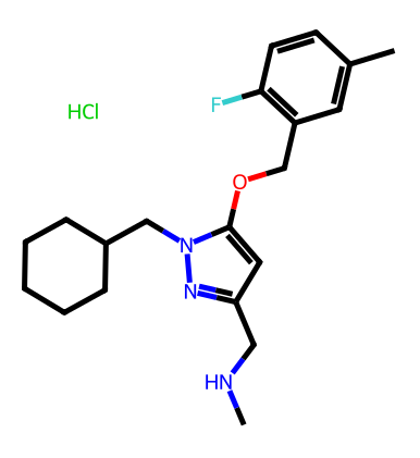 CNCc1cc(OCc2cc(C)ccc2F)n(CC2CCCCC2)n1.Cl